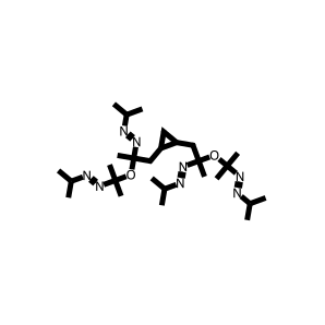 CC(C)N=NC(C)(C)OC(C)(CC1CC1CC(C)(N=NC(C)C)OC(C)(C)N=NC(C)C)N=NC(C)C